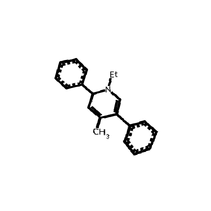 CCN1C=C(c2ccccc2)C(C)=CC1c1ccccc1